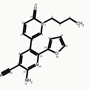 CCCCn1cc(-c2cc(C#N)c(N)nc2-c2ccco2)ccc1=O